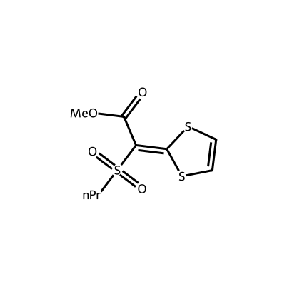 CCCS(=O)(=O)C(C(=O)OC)=C1SC=CS1